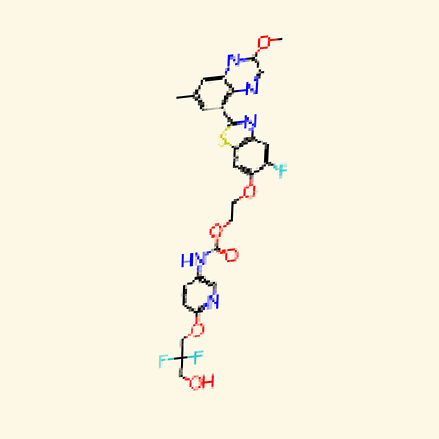 COc1cnc2c(-c3nc4cc(F)c(OCCOC(=O)Nc5ccc(OCC(F)(F)CO)nc5)cc4s3)cc(C)cc2n1